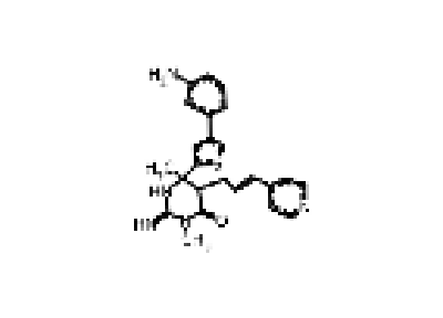 CN1C(=N)N[C@](C)(c2cc(-c3cccc(N)c3)cs2)C(C/C=C/c2ccncc2)C1=O